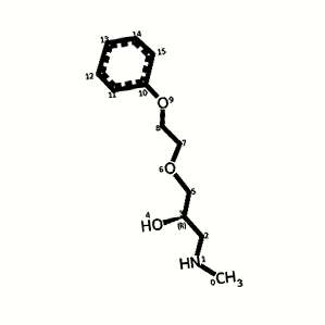 CNC[C@@H](O)COCCOc1ccccc1